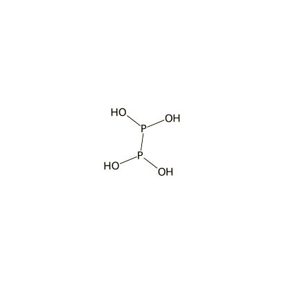 OP(O)P(O)O